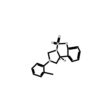 Cc1ccccc1N1C[C@H]2c3ccccc3OS(=O)(=O)N2C1